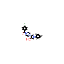 Cc1ccc(N2C[C@@H](O)[C@H](N3CCN(C(=O)c4ccc(Cl)cc4)CC3)C2)cc1